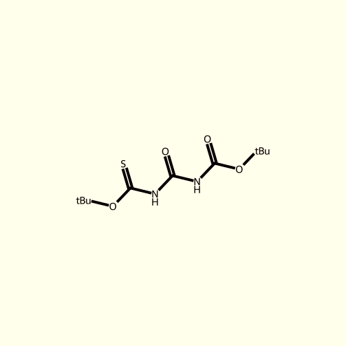 CC(C)(C)OC(=O)NC(=O)NC(=S)OC(C)(C)C